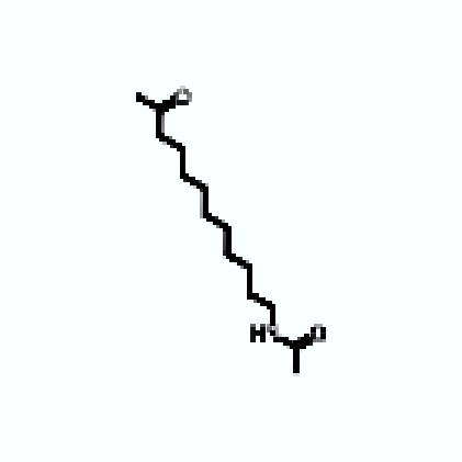 CC(=O)CCCCCCCCCCNC(C)=O